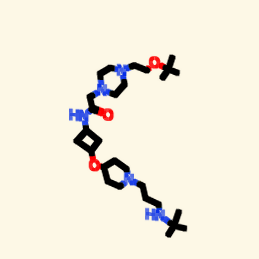 CC(C)(C)NCCCN1CCC(OC2CC(NC(=O)CN3CCN(CCOC(C)(C)C)CC3)C2)CC1